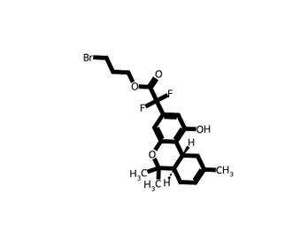 CC1=CC[C@@H]2[C@@H](C1)c1c(O)cc(C(F)(F)C(=O)OCCCBr)cc1OC2(C)C